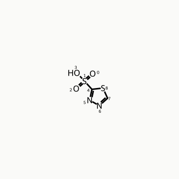 O=S(=O)(O)c1nncs1